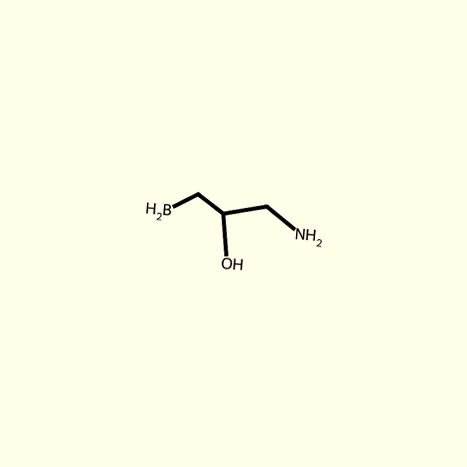 BCC(O)CN